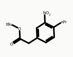 CCCc1ccc(CC(=O)OC(C)(C)C)cc1[N+](=O)[O-]